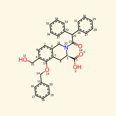 O=C(O)[C@H]1Cc2c(ccc(CO)c2OCc2ccccc2)CN1C(=O)C(c1ccccc1)c1ccccc1